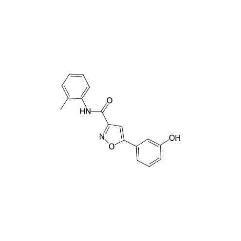 Cc1ccccc1NC(=O)c1cc(-c2cccc(O)c2)on1